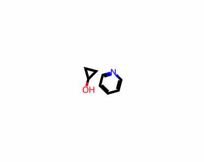 OC1CC1.c1ccncc1